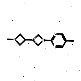 Cc1cnc(N2CC(C3CN(C)C3)C2)nc1